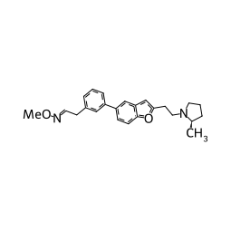 CON=CCc1cccc(-c2ccc3oc(CCN4CCC[C@H]4C)cc3c2)c1